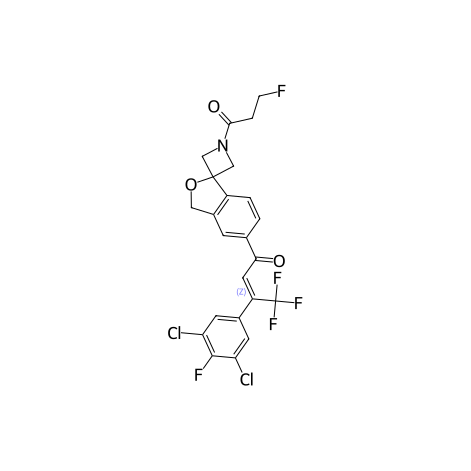 O=C(/C=C(/c1cc(Cl)c(F)c(Cl)c1)C(F)(F)F)c1ccc2c(c1)COC21CN(C(=O)CCF)C1